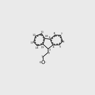 [O]CCC1c2ccccc2-c2ccccc21